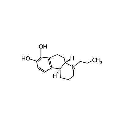 CCCN1CCC[C@H]2c3ccc(O)c(O)c3CC[C@@H]21